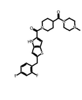 CN1CCN(C(=O)C2CCN(C(=O)c3cc4sc(Cc5ccc(F)cc5F)cc4[nH]3)CC2)CC1